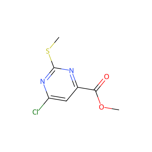 COC(=O)c1cc(Cl)nc(SC)n1